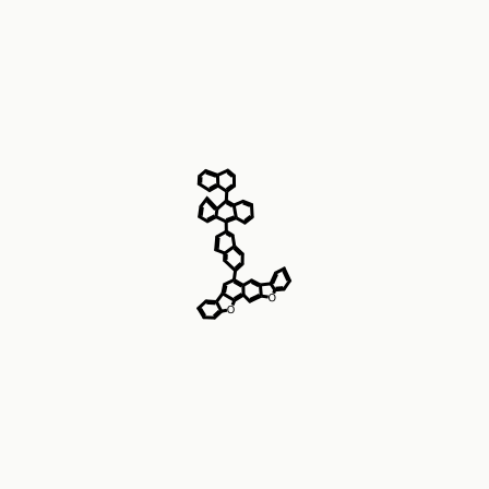 c1ccc2c(-c3c4ccccc4c(-c4ccc5cc(-c6cc7c8ccccc8oc7c7cc8oc9ccccc9c8cc67)ccc5c4)c4ccccc34)cccc2c1